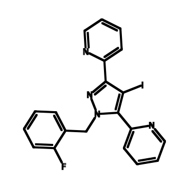 Fc1ccccc1Cn1nc(-c2ccccn2)c(I)c1-c1ccccn1